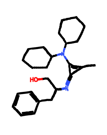 Cc1c(N(C2CCCCC2)C2CCCCC2)/c1=N\C(CO)Cc1ccccc1